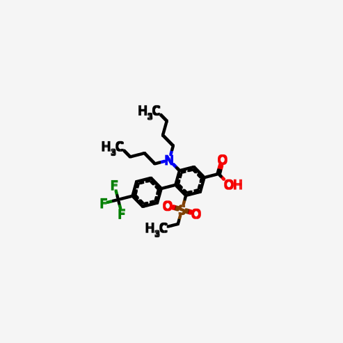 CCCCN(CCCC)c1cc(C(=O)O)cc(S(=O)(=O)CC)c1-c1ccc(C(F)(F)F)cc1